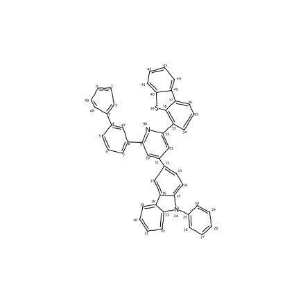 c1ccc(-c2cccc(-c3cc(-c4ccc5c(c4)c4ccccc4n5-c4ccccc4)cc(-c4cccc5c4sc4ccccc45)n3)c2)cc1